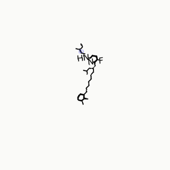 CC/C(C)=C\CNc1ccc(F)c(CC(CCCCCCCc2cccc(C)c2C)CC(C)C)n1